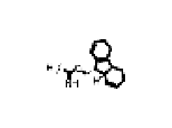 CC(=N)OC[C@@H]1C2=C(CCC=C2)C2CCC=C[C@@H]21